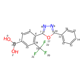 OB(O)c1ccc(-c2nnc(-c3ccccc3)o2)c(C(F)(F)F)c1